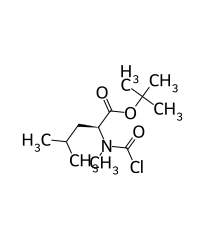 CC(C)C[C@@H](C(=O)OC(C)(C)C)N(C)C(=O)Cl